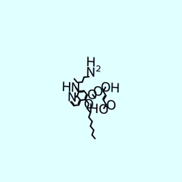 CCCCCCCCOc1c(OC)cc(NC(C)CCCN)c2ncccc12.O=C(O)/C=C/C(=O)O